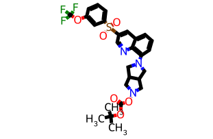 CC(C)(C)OC(=O)ON1CC2CN(c3cccc4cc(S(=O)(=O)c5cccc(OC(F)(F)F)c5)cnc34)CC2C1